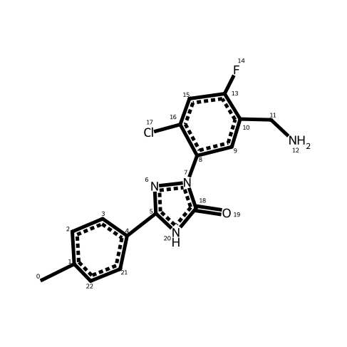 Cc1ccc(-c2nn(-c3cc(CN)c(F)cc3Cl)c(=O)[nH]2)cc1